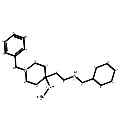 CCCCNC1(CCNCC2CCCCC2)CCN(Cc2ccccc2)CC1